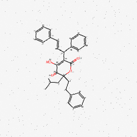 CC(C)CC1(CCc2ccccc2)OC(=O)C(C(C=Cc2ccccc2)c2ccccc2)=C(O)C1=O